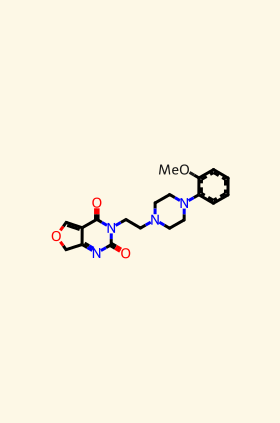 COc1ccccc1N1CCN(CCN2C(=O)N=C3COC=C3C2=O)CC1